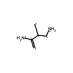 C=C(N)C(C)CN